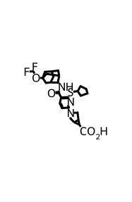 O=C(NC1C2CC3CC1CC(OC(F)F)(C3)C2)c1ccc(N2CC3C(C2)C3C(=O)O)nc1SC1CCCC1